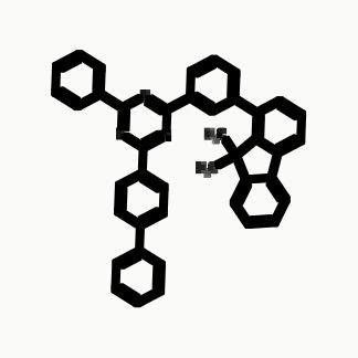 CC1(C)c2ccccc2-c2cccc(-c3cccc(-c4nc(-c5ccccc5)nc(-c5ccc(-c6ccccc6)cc5)n4)c3)c21